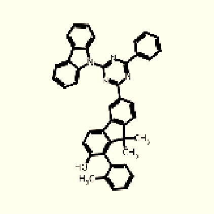 Cc1ccccc1-c1c(O)ccc2c1C(C)(C)c1ccc(-c3nc(-c4ccccc4)nc(-n4c5ccccc5c5ccccc54)n3)cc1-2